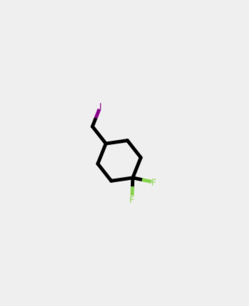 FC1(F)CCC(CI)CC1